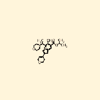 Cc1c(C(=O)OC(C)C)cc2cc(C3=CCOCC3)cn2c1C(C)N1CCOCC1